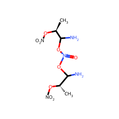 C[C@H](O[N+](=O)[O-])C(N)O[N+](=O)OC(N)[C@H](C)O[N+](=O)[O-]